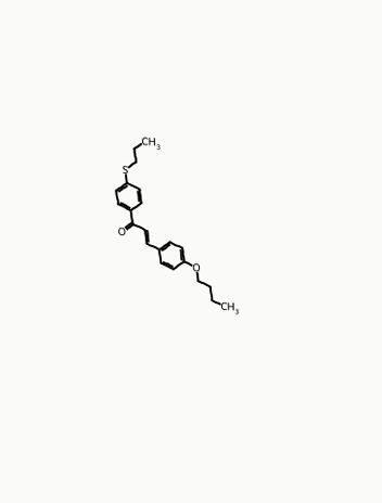 CCCCOc1ccc(C=CC(=O)c2ccc(SCCC)cc2)cc1